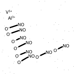 O=N[O-].O=N[O-].O=N[O-].O=N[O-].O=N[O-].O=N[O-].O=N[O-].O=N[O-].[Al+3].[V+5]